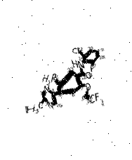 Cc1cnc(-c2cc(OCC(F)(F)F)c(C(=O)Nc3c(F)cccc3Cl)cc2P)cn1